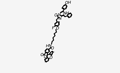 O=C(NCCCCCCCCOc1ccc(Cc2nc3c(Cc4ccccc4)[nH]c(-c4ccc(O)cc4)cn-3c2=O)cc1F)c1ccc2c(c1)C1(OC2=O)c2cc[c]cc2Oc2c[c]ccc21